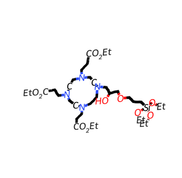 CCOC(=O)CCN1CCN(CCC(=O)OCC)CCN(CC(O)COCCC[Si](OCC)(OCC)OCC)CCN(CCC(=O)OCC)CC1